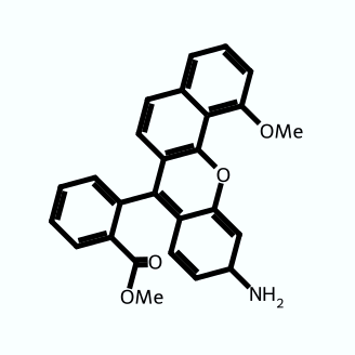 COC(=O)c1ccccc1C1=C2C=CC(N)C=C2Oc2c1ccc1cccc(OC)c21